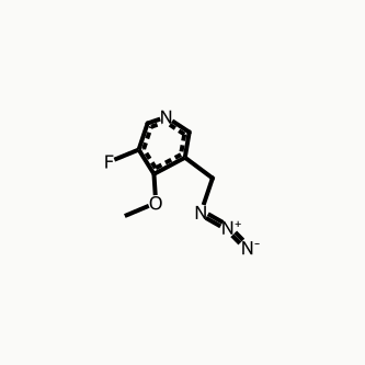 COc1c(F)cncc1CN=[N+]=[N-]